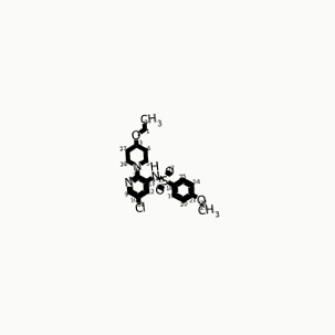 CCOC1CCN(c2ncc(Cl)cc2NS(=O)(=O)c2ccc(OC)cc2)CC1